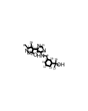 Cc1nnc2oc3c(NCc4cccc(C(C)(C)O)c4)ncnc3c2c1C